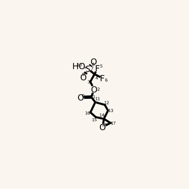 O=C(OCC(F)(F)S(=O)(=O)O)C1CCC2(CC1)CO2